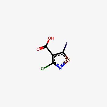 O=C(O)c1c(Cl)nsc1I